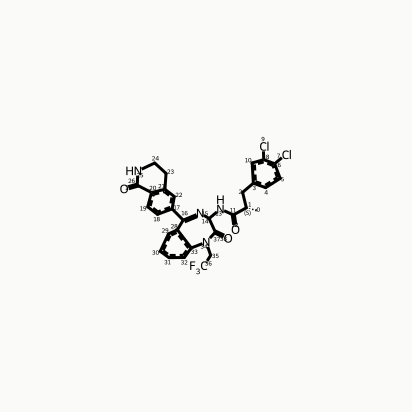 C[C@@H](Cc1ccc(Cl)c(Cl)c1)C(=O)NC1N=C(c2ccc3c(c2)CCNC3=O)c2ccccc2N(CC(F)(F)F)C1=O